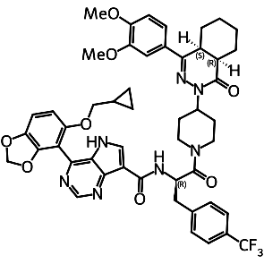 COc1ccc(C2=NN(C3CCN(C(=O)[C@@H](Cc4ccc(C(F)(F)F)cc4)NC(=O)c4c[nH]c5c(-c6c(OCC7CC7)ccc7c6OCO7)ncnc45)CC3)C(=O)[C@@H]3CCCC[C@H]23)cc1OC